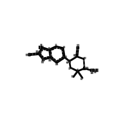 CC1(C)CN(c2ccc3[nH]c(=O)oc3c2)C(=O)CN1C(=O)O